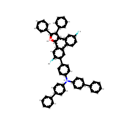 Fc1ccc2c3cc(-c4ccc(N(c5ccc(-c6ccccc6)cc5)c5ccc(-c6ccccc6)cc5)cc4)c(F)cc3c3oc(-c4ccccc4)c(-c4ccccc4)c3c2c1